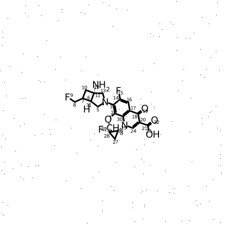 COc1c(N2C[C@H]3C(CF)C[C@@]3(N)C2)c(F)cc2c(=O)c(C(=O)O)cn([C@@H]3C[C@@H]3F)c12